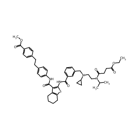 CCOC(=O)CCC(=O)N(CCN(Cc1cccc(C(=O)Nc2sc3c(c2C(=O)Nc2ccc(CCc4ccc(C(=O)OC)cc4)cc2)CCCC3)c1)C1CC1)C(C)C